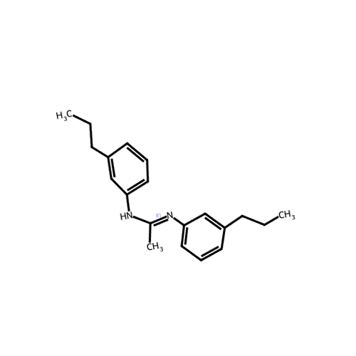 CCCc1cccc(/N=C(\C)Nc2cccc(CCC)c2)c1